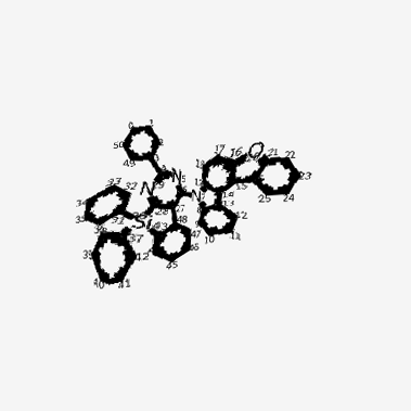 c1ccc(-c2nc(-n3c4ccccc4c4c5c(ccc43)oc3ccccc35)c3c(n2)[Si](c2ccccc2)(c2ccccc2)c2ccccc2-3)cc1